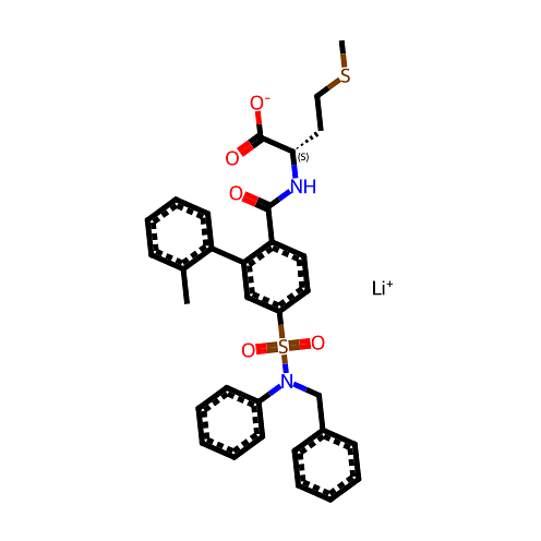 CSCC[C@H](NC(=O)c1ccc(S(=O)(=O)N(Cc2ccccc2)c2ccccc2)cc1-c1ccccc1C)C(=O)[O-].[Li+]